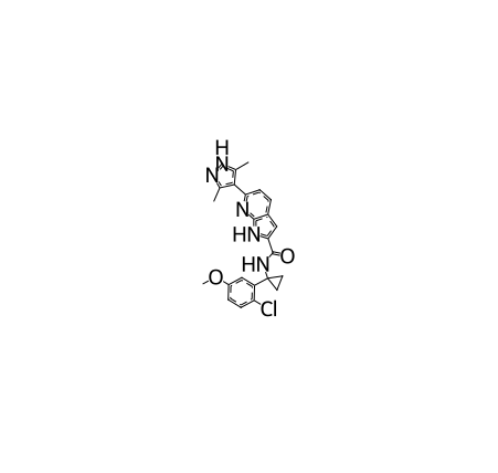 COc1ccc(Cl)c(C2(NC(=O)c3cc4ccc(-c5c(C)n[nH]c5C)nc4[nH]3)CC2)c1